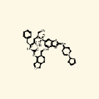 CC(C)CN(C[C@@H](O)[C@H](Cc1ccccc1)NC(=O)OC1C(CO)CCC2COCC21)S(=O)(=O)c1ccc2nc(NC3CCN(C4CCCC4)CC3)sc2c1